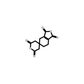 O=C1CC2(CCC3=C(C2)C(=O)OC3=O)CC(=O)O1